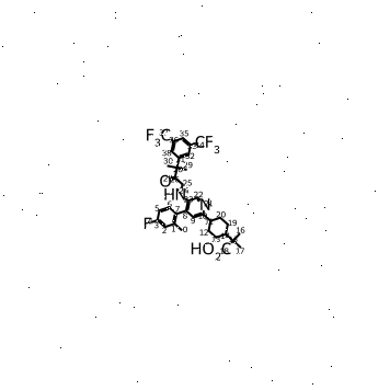 Cc1cc(F)ccc1-c1cc(C2CCC(C(C)(C)C(=O)O)CC2)ncc1NCC(=O)C(C)(C)c1cc(C(F)(F)F)cc(C(F)(F)F)c1